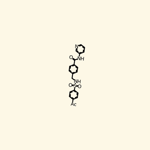 CC(=O)c1ccc(S(=O)(=O)NCc2ccc(C(=O)Nc3cccnc3)cc2)cc1